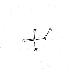 CCSP(=O)(Br)Br